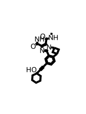 CNC(=O)c1c(C(N)=O)nc2n1C1CC(C1)c1ccc(C#CC3(O)CCCCC3)cc1-2